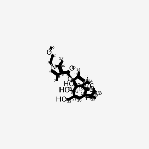 COCCn1cc(C)c(C(=O)O[C@H]2C(C)=C[C@]34C(=O)[C@@H](C=C(CO)[C@@H](O)[C@]23O)C(C)(C)[C@@H](C)C[C@H]4C)c1C